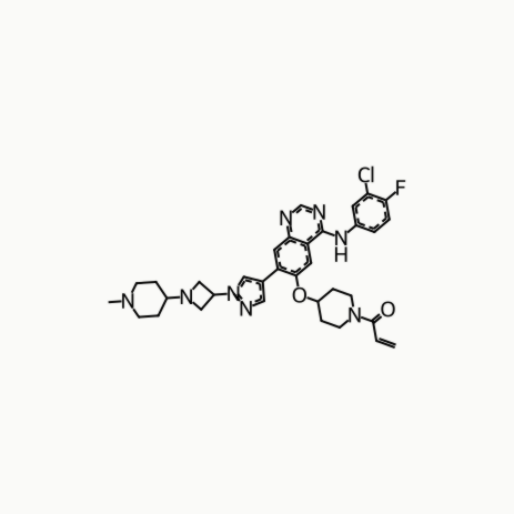 C=CC(=O)N1CCC(Oc2cc3c(Nc4ccc(F)c(Cl)c4)ncnc3cc2-c2cnn(C3CN(C4CCN(C)CC4)C3)c2)CC1